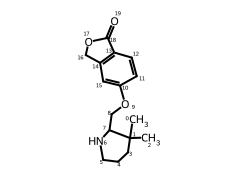 CC1(C)CCCNC1COc1ccc2c(c1)COC2=O